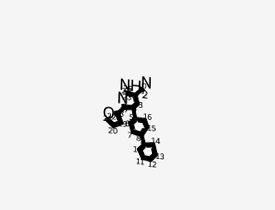 N#Cc1cc(-c2ccc(-c3ccccc3)cc2)c(-c2ccco2)nc1N